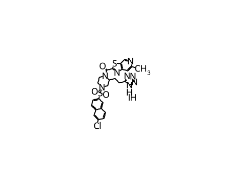 Cc1cc2nc(C(=O)N3CCN(S(=O)(=O)c4ccc5cc(Cl)ccc5c4)CC3CCc3nnn[nH]3)sc2cn1.I